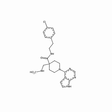 O=C(O)NCC1(C(=O)NCCc2ccc(Cl)cc2)CCN(c2ncnc3[nH]ccc23)CC1